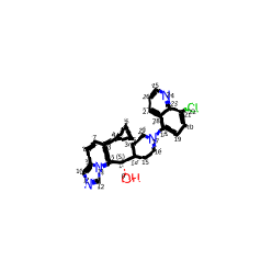 O[C@H](c1c(C2CC2)ccc2cncn12)C1CCN(c2ccc(Cl)c3ncccc23)CC1